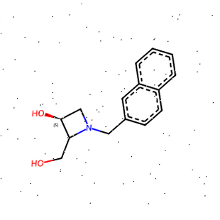 OCC1[C@@H](O)CN1Cc1ccc2ccccc2c1